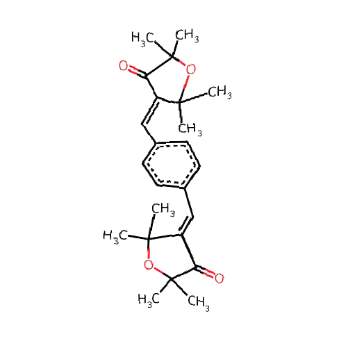 CC1(C)OC(C)(C)/C(=C\c2ccc(/C=C3/C(=O)C(C)(C)OC3(C)C)cc2)C1=O